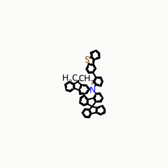 CC1(C)c2ccccc2-c2ccc(N(c3cccc(-c4ccc5sc6ccccc6c5c4)c3)c3cccc4c3-c3ccccc3C43c4ccccc4-c4ccccc43)cc21